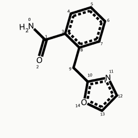 NC(=O)c1ccccc1Cc1ncco1